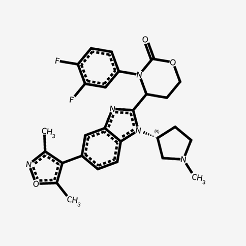 Cc1noc(C)c1-c1ccc2c(c1)nc(C1CCOC(=O)N1c1ccc(F)c(F)c1)n2[C@@H]1CCN(C)C1